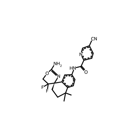 CC1(C)CC[C@@]2(N=C(N)OCC2(F)F)c2cc(NC(=O)c3ccc(C#N)cn3)ccc21